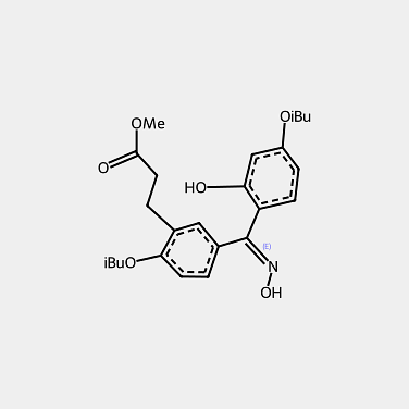 COC(=O)CCc1cc(/C(=N\O)c2ccc(OCC(C)C)cc2O)ccc1OCC(C)C